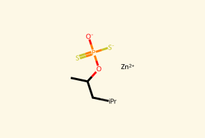 CC(C)CC(C)OP([O-])(=S)[S-].[Zn+2]